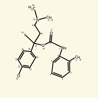 Cc1ccccc1NC(=O)OC(I)(CCN(C)C)c1ccc(Cl)cc1